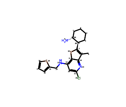 Cc1c([C@@H]2CCCC[C@H]2N)sc2c(NCc3cccs3)cc(Cl)nc12